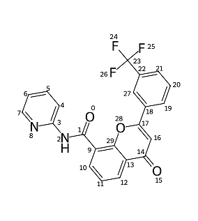 O=C(Nc1ccccn1)c1cccc2c(=O)cc(-c3cccc(C(F)(F)F)c3)oc12